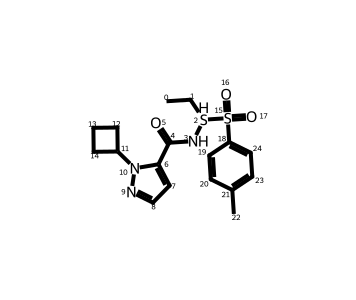 CC[SH](NC(=O)c1ccnn1C1CCC1)S(=O)(=O)c1ccc(C)cc1